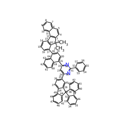 CC1(C)c2ccc3ccccc3c2-c2cccc(-c3ccc(-c4cc(-c5ccc6c(c5)C(c5ccccc5)(c5ccccc5)c5ccccc5-6)nc(-c5ccccc5)n4)c4ccccc34)c21